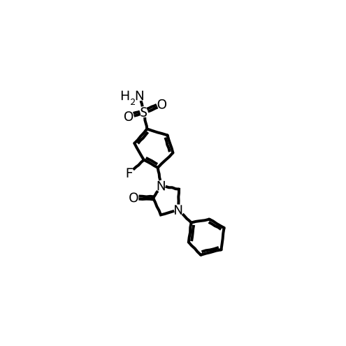 NS(=O)(=O)c1ccc(N2CN(c3ccccc3)CC2=O)c(F)c1